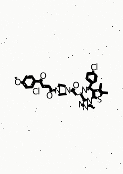 COc1ccc(C(=O)/C=C/C(=O)N2CCN(C(=O)C[C@@H]3N=C(c4ccc(Cl)cc4)c4c(sc(C)c4C)-n4c(C)nnc43)CC2)c(Cl)c1